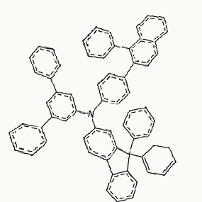 C1=CCCC(C2(c3ccccc3)c3ccccc3-c3ccc(N(c4ccc(-c5ccc6ccccc6c5-c5ccccc5)cc4)c4cc(-c5ccccc5)cc(-c5ccccc5)c4)cc32)=C1